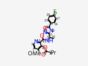 COc1ccnc(C(=O)NC(C)c2noc(-c3ccc(F)cc3)n2)c1OC(=O)C(C)C